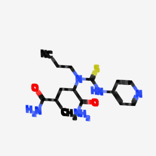 CC(CC(C(N)=O)N(CCC#N)C(=S)Nc1ccncc1)C(N)=O